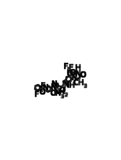 Cc1cc(Oc2c(F)cccc2F)ncc1-n1ncc(C(=O)c2cc3cc(OCC(F)F)c(-n4c(C)cc(=O)[nH]c4=O)cc3[nH]2)c1N